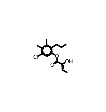 CC=C(O)C(=O)Oc1cc(Cl)c(C)c(C)c1CCC